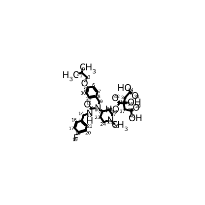 CC(C)COc1ccc(CN(C(=O)NCc2ccc(F)cc2)C2CCN(C)CC2)cc1.O=C(O)CC(O)(CC(=O)O)C(=O)O